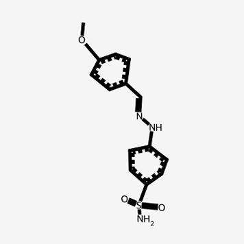 COc1ccc(C=NNc2ccc(S(N)(=O)=O)cc2)cc1